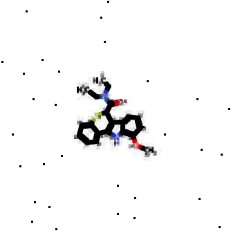 CCN(CC)C(=O)C1Sc2ccccc2-c2[nH]c3c(OC)cccc3c21